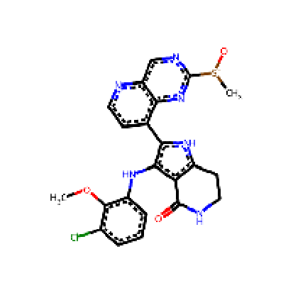 COc1c(Cl)cccc1Nc1c(-c2ccnc3cnc([S+](C)[O-])nc23)[nH]c2c1C(=O)NCC2